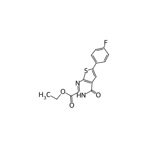 CCOC(=O)c1nc2sc(-c3ccc(F)cc3)cc2c(=O)[nH]1